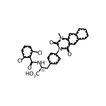 Cn1c(=O)n(-c2ccc(C[C@H](NC(=O)c3c(Cl)cccc3Cl)C(=O)O)cc2)c(=O)c2cc3ccccc3cc21